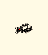 CC(C)(C)OC(N)=O.Cc1cc(C2=NOC(c3cc(Cl)cc(Cl)c3)(C(F)(F)F)C2)ccc1C(=O)NC1(C)COS(=O)N1C(=O)O